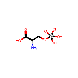 N[C@@H](C[O][V]([OH])([OH])([OH])[OH])C(=O)O